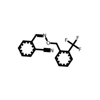 N#Cc1ccccc1/[C]=N\OCc1ccccc1C(F)(F)F